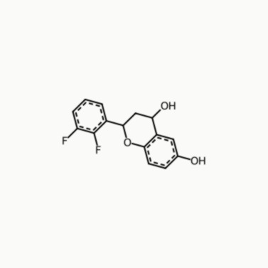 Oc1ccc2c(c1)C(O)CC(c1cccc(F)c1F)O2